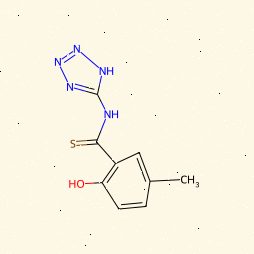 Cc1ccc(O)c(C(=S)Nc2nnn[nH]2)c1